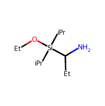 CCO[Si](C(C)C)(C(C)C)C(N)CC